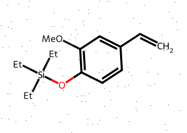 C=Cc1ccc(O[Si](CC)(CC)CC)c(OC)c1